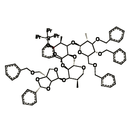 CC1O[C@@H](O[Si](C(C)C)(C(C)C)C(C)C)[C@@H](C)C(O[C@@H]2OC(COCc3ccccc3)[C@@H](OCc3ccccc3)C(OCc3ccccc3)[C@H]2C)[C@H]1O[C@@H]1OC[C@@H](C)C(O[C@@H]2OC[C@]3(COCc4ccccc4)O[C@@H](c4ccccc4)OC23)[C@H]1OCc1ccccc1